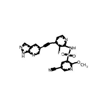 COc1ncc(C#N)cc1S(=O)(=O)Nc1nccc(C#Cc2cnc3[nH]ncc3c2)c1F